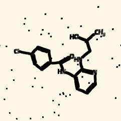 CC(O)CNc1ncccc1NC(=O)c1ccc(Cl)cc1